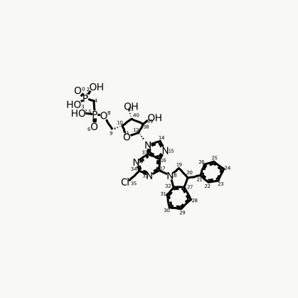 O=P(O)(O)CP(=O)(O)OC[C@H]1O[C@@H](n2cnc3c(N4CC(c5ccccc5)c5ccccc54)nc(Cl)nc32)C(O)[C@H]1O